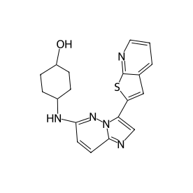 OC1CCC(Nc2ccc3ncc(-c4cc5cccnc5s4)n3n2)CC1